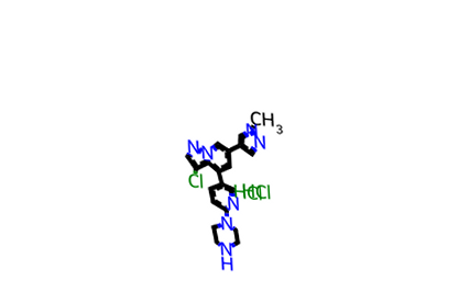 Cl.Cl.Cn1cc(-c2cc(-c3ccc(N4CCNCC4)nc3)c3c(Cl)cnn3c2)cn1